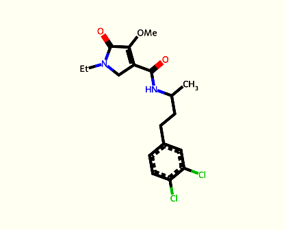 CCN1CC(C(=O)NC(C)CCc2ccc(Cl)c(Cl)c2)=C(OC)C1=O